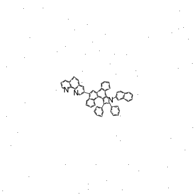 c1ccc(-c2c(-c3ccccc3)n(-c3ccc4ccccc4c3)c3c4ccccc4c4cc(-c5cnc6c(ccc7cccnc76)c5)c5ccccc5c4c23)cc1